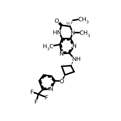 CC[C@H]1C(=O)Nc2c(C)nc(N[C@H]3C[C@H](Oc4cccc(C(F)(F)F)n4)C3)nc2N1C